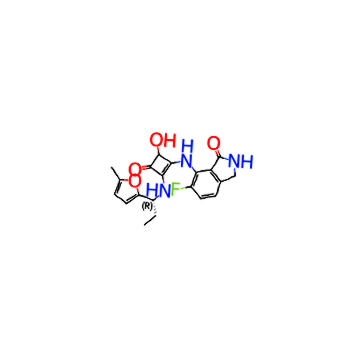 CC[C@@H](NC1=C(Nc2c(F)ccc3c2C(=O)NC3)C(O)C1=O)c1ccc(C)o1